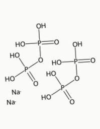 O=P(O)(O)OP(=O)(O)O.O=P(O)(O)OP(=O)(O)O.[Na].[Na]